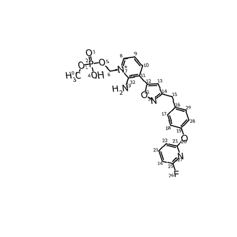 COP(=O)(O)OC[n+]1cccc(-c2cc(Cc3ccc(Oc4cccc(F)n4)cc3)no2)c1N